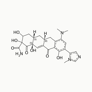 CN(C)c1cc(-c2cncn2C)c(O)c2c1C[C@H]1C[C@H]3CC(O)C(O)(C(N)=O)C(=O)[C@@]3(O)C=C1C2=O